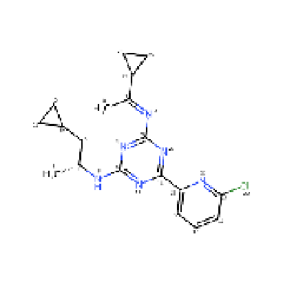 C/C(=N\c1nc(N[C@H](C)CC2CC2)nc(-c2cccc(Cl)n2)n1)C1CC1